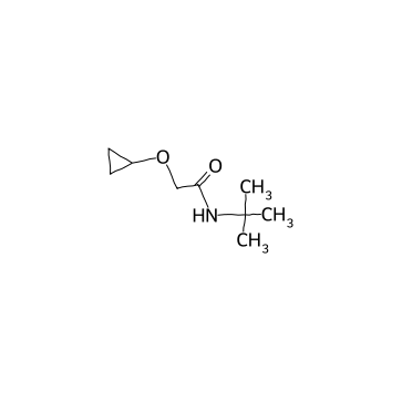 CC(C)(C)NC(=O)COC1CC1